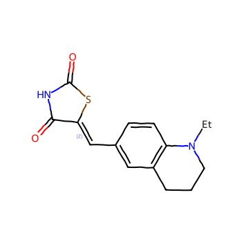 CCN1CCCc2cc(/C=C3\SC(=O)NC3=O)ccc21